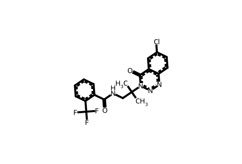 CC(C)(CNC(=O)c1ccccc1C(F)(F)F)n1nnc2ccc(Cl)cc2c1=O